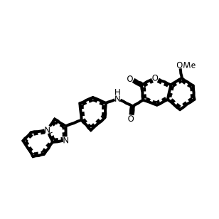 COc1cccc2cc(C(=O)Nc3ccc(-c4cn5ccccc5n4)cc3)c(=O)oc12